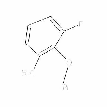 Cc1cccc(F)c1OC(C)C